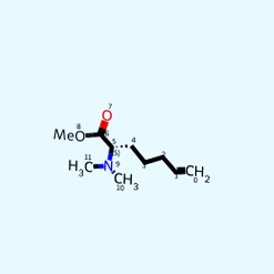 C=CCCC[C@@H](C(=O)OC)N(C)C